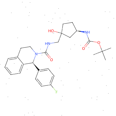 CC(C)(C)OC(=O)N[C@@H]1CCC(O)(CNC(=O)N2CCc3ccccc3[C@@H]2c2ccc(F)cc2)C1